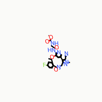 COC(=O)NCC(=O)Nc1ncc2cc1OC(C)c1cc(F)ccc1C(=O)N(C)Cc1nn(C)c(C#N)c1-2